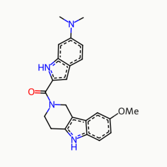 COc1ccc2[nH]c3c(c2c1)CN(C(=O)c1cc2ccc(N(C)C)cc2[nH]1)CC3